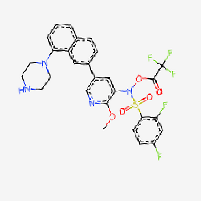 COc1ncc(-c2ccc3cccc(N4CCNCC4)c3c2)cc1N(OC(=O)C(F)(F)F)S(=O)(=O)c1ccc(F)cc1F